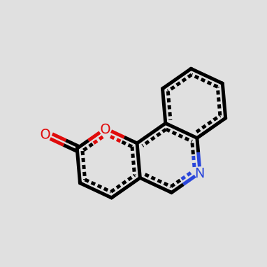 O=c1ccc2cnc3ccccc3c2o1